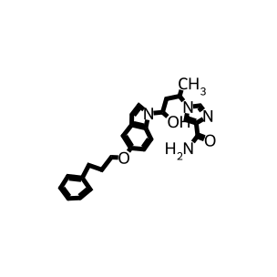 CC(CC(O)n1ccc2cc(OCCCc3ccccc3)ccc21)n1cnc(C(N)=O)c1